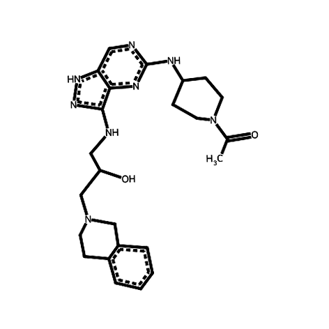 CC(=O)N1CCC(Nc2ncc3[nH]nc(NCC(O)CN4CCc5ccccc5C4)c3n2)CC1